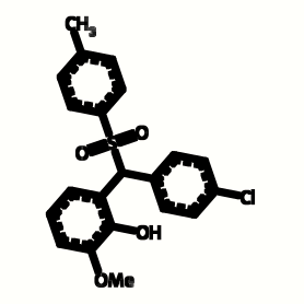 COc1cccc(C(c2ccc(Cl)cc2)S(=O)(=O)c2ccc(C)cc2)c1O